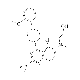 COc1ccccc1C1CCN(c2nc(C3CC3)nc3ccc(N(C)CCO)c(Cl)c23)CC1